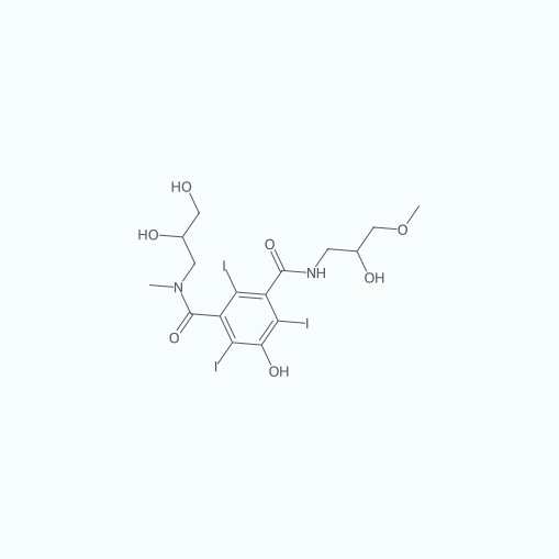 COCC(O)CNC(=O)c1c(I)c(O)c(I)c(C(=O)N(C)CC(O)CO)c1I